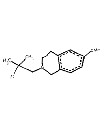 CCC(C)(C)CN1CCc2cc(OC)ccc2C1